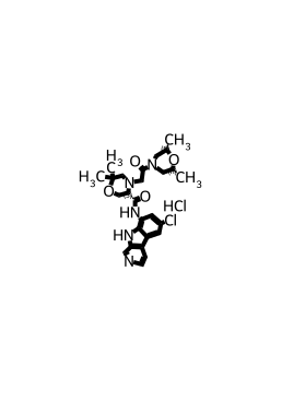 C[C@@H]1CN(C(=O)CN2CC(C)(C)OC[C@H]2C(=O)Nc2cc(Cl)cc3c2[nH]c2cnccc23)C[C@H](C)O1.Cl